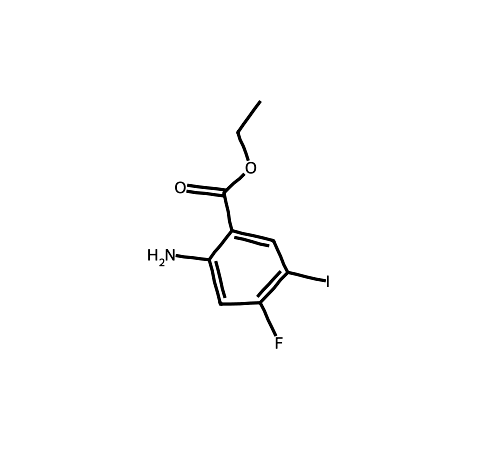 CCOC(=O)c1cc(I)c(F)cc1N